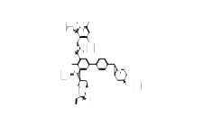 C=CC(=O)N1CCC(N(CC)c2cc(-c3ccc(CN4CCC(O)CC4)cc3)cc(C(=O)NCc3c(C)cc(C)[nH]c3=O)c2C)C1